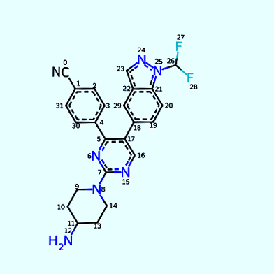 N#Cc1ccc(-c2nc(N3CCC(N)CC3)ncc2-c2ccc3c(cnn3C(F)F)c2)cc1